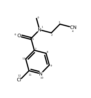 CN(CCC#N)C(=O)c1ccnc(Cl)c1